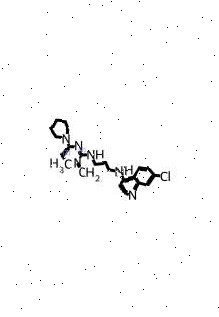 C=N/C(=N\C(=C/C)N1CCCCC1)NCCCNc1ccnc2cc(Cl)ccc12